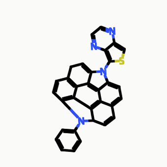 C1=CC2c3c4c(ccc5c4c4c(n(-c6scc7nccnc67)c6ccc1c3c46)=CC5)N2c1ccccc1